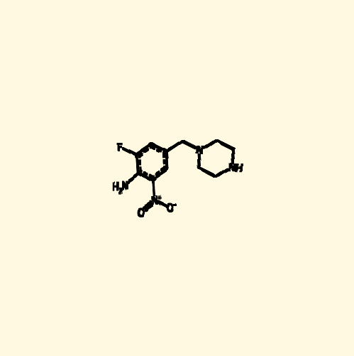 Nc1c(F)cc(CN2CCNCC2)cc1[N+](=O)[O-]